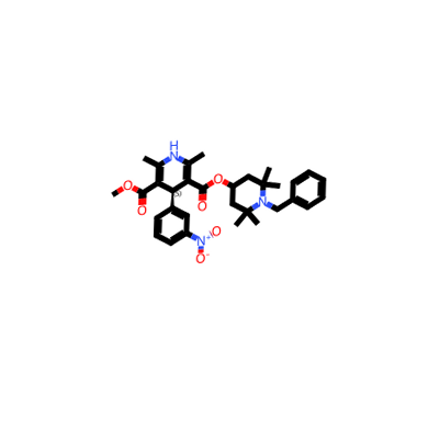 COC(=O)C1=C(C)NC(C)=C(C(=O)OC2CC(C)(C)N(Cc3ccccc3)C(C)(C)C2)[C@H]1c1cccc([N+](=O)[O-])c1